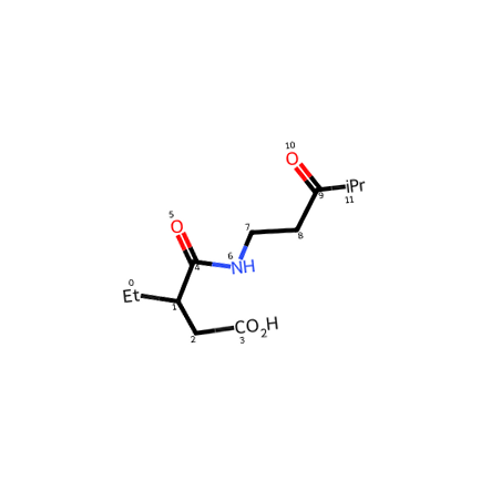 CCC(CC(=O)O)C(=O)NCCC(=O)C(C)C